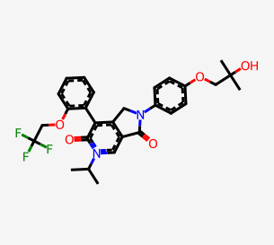 CC(C)n1cc2c(c(-c3ccccc3OCC(F)(F)F)c1=O)CN(c1ccc(OCC(C)(C)O)cc1)C2=O